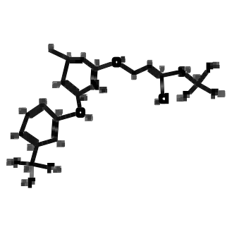 Cc1cc(OC/C=C(\Cl)SC(F)(F)F)nc(Oc2cccc(C(F)(F)F)c2)c1